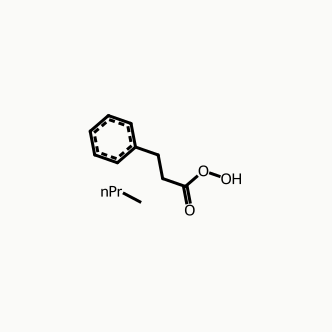 CCCC.O=C(CCc1ccccc1)OO